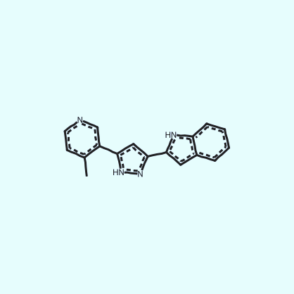 Cc1ccncc1-c1cc(-c2cc3ccccc3[nH]2)n[nH]1